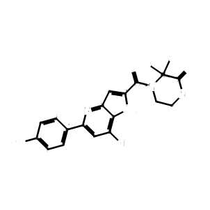 CC(C)(C)c1cc(-c2ccc(C(F)(F)F)cc2)nc2cc(C(=O)N3CCNC(=O)C3(C)C)oc12